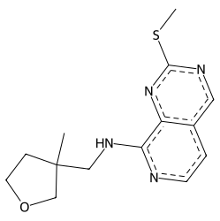 CSc1ncc2ccnc(NCC3(C)CCOC3)c2n1